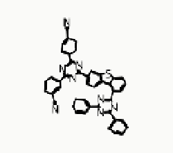 N#Cc1ccc(-c2nc(-c3cccc(C#N)c3)nc(-c3ccc4c(c3)sc3cccc(-c5nc(C6=CCCC=C6)nc(-c6ccccc6)n5)c34)n2)cc1